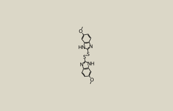 COc1ccc2nc(SSc3nc4ccc(OC)cc4[nH]3)[nH]c2c1